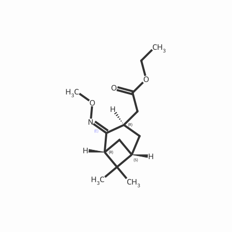 CCOC(=O)C[C@H]1C[C@H]2C[C@@H](/C1=N/OC)C2(C)C